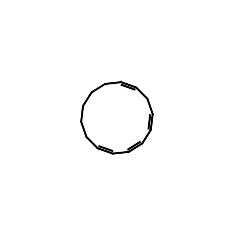 [C]1=CCC=CC=CC=CCCCCC1